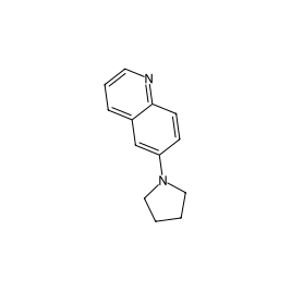 c1cnc2ccc(N3CCCC3)cc2c1